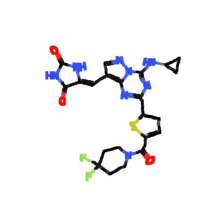 O=C1NC(=O)/C(=C/c2cnn3c(NC4CC4)nc(C4CC=C(C(=O)N5CCC(F)(F)CC5)S4)nc23)N1